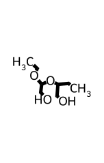 CCOC(CO)OC(CC)CO